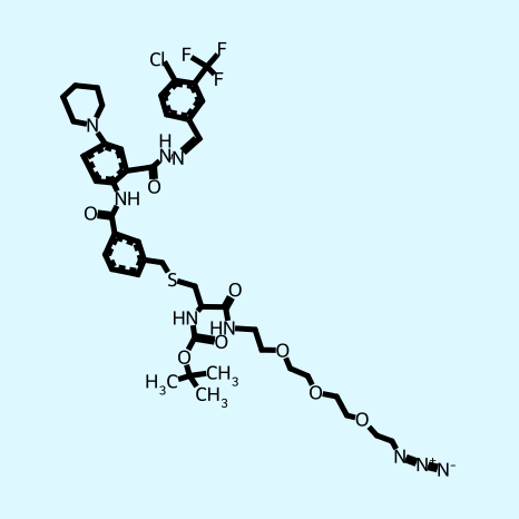 CC(C)(C)OC(=O)NC(CSCc1cccc(C(=O)Nc2ccc(N3CCCCC3)cc2C(=O)N/N=C\c2ccc(Cl)c(C(F)(F)F)c2)c1)C(=O)NCCOCCOCCOCCN=[N+]=[N-]